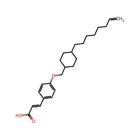 C=CCCCCCCC1CCC(COc2ccc(/C=C/C(=O)O)cc2)CC1